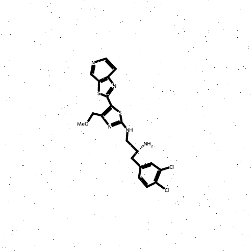 COCc1nc(NC[C@H](N)Cc2ccc(Cl)c(Cl)c2)sc1-c1nc2ccncc2s1